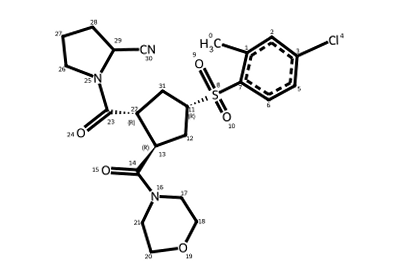 Cc1cc(Cl)ccc1S(=O)(=O)[C@@H]1C[C@@H](C(=O)N2CCOCC2)[C@H](C(=O)N2CCCC2C#N)C1